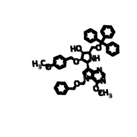 COc1ccc(CO[C@@H]2[C@H](O)[C@@H](COC(c3ccccc3)(c3ccccc3)c3ccccc3)N[C@H]2c2cn(COCc3ccccc3)c3c(OC)ncnc23)cc1